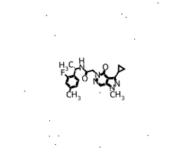 Cc1ccc([C@H](C)NC(=O)Cn2ncc3c(c(C4CC4)nn3C)c2=O)c(F)c1